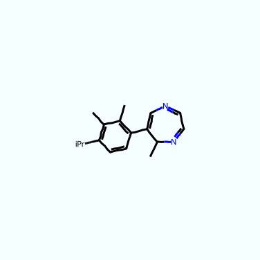 Cc1c(C2=CN=CC=NC2C)ccc(C(C)C)c1C